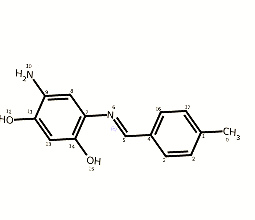 Cc1ccc(/C=N/c2cc(N)c(O)cc2O)cc1